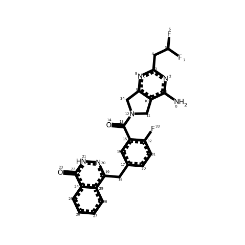 Nc1nc(CC(F)F)nc2c1CN(C(=O)c1cc(Cc3n[nH]c(=O)c4ccccc34)ccc1F)C2